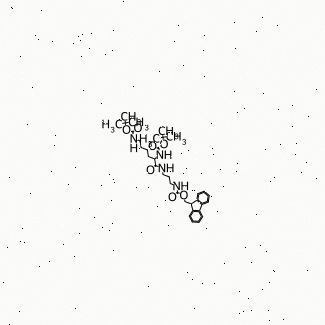 CC(C)(C)OC(=O)NCCCCC(NC(=O)OC(C)(C)C)C(=O)NCCCNC(=O)OCC1c2ccccc2-c2ccccc21